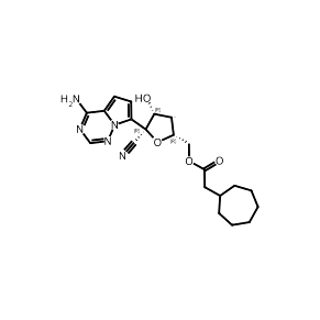 N#C[C@@]1(c2ccc3c(N)ncnn23)O[C@@H](COC(=O)CC2CCCCCC2)[CH][C@H]1O